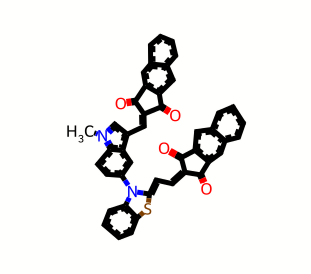 Cn1cc(C=C2C(=O)c3cc4ccccc4cc3C2=O)c2cc(N3/C(=C/C=C4C(=O)c5cc6ccccc6cc5C4=O)Sc4ccccc43)ccc21